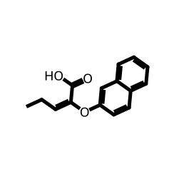 CCC=C(Oc1ccc2ccccc2c1)C(=O)O